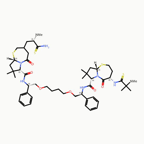 CN[C@@H](CC1CS[C@H]2CC(C)(C)[C@@H](C(=O)N[C@H](COCCCCOC[C@@H](NC(=O)[C@H]3N4C(=O)[C@@H](NC(=S)C(C)(C)NC)CCS[C@H]4CC3(C)C)c3ccccc3)c3ccccc3)N2C(=O)C1)C(N)=S